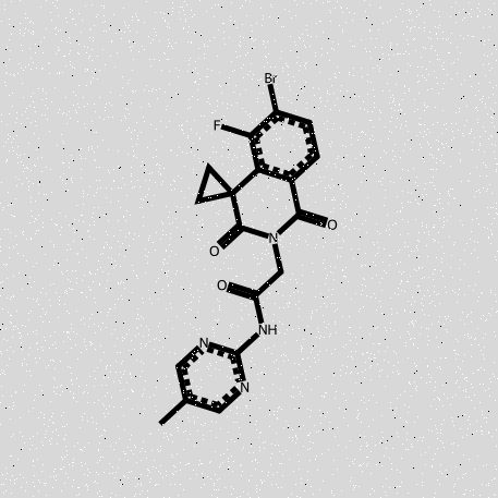 Cc1cnc(NC(=O)CN2C(=O)c3ccc(Br)c(F)c3C3(CC3)C2=O)nc1